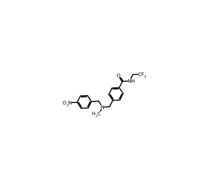 CN(Cc1ccc(C(=O)NCC(F)(F)F)cc1)Cc1ccc([N+](=O)[O-])cc1